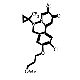 COCCCOc1cc2c(cc1Cl)-c1cc(=O)c(C(C)=O)cn1N(C1(C(F)(F)F)CC1)C2